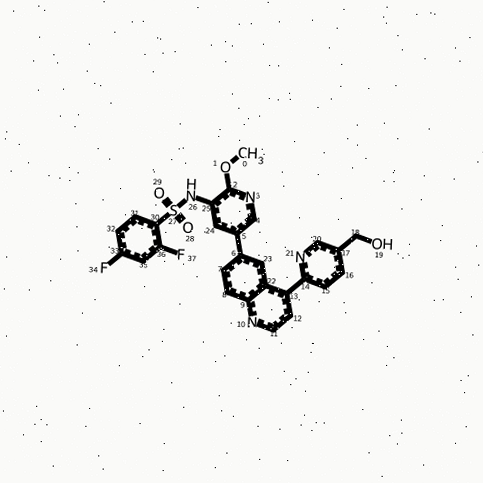 COc1ncc(-c2ccc3nccc(-c4ccc(CO)cn4)c3c2)cc1NS(=O)(=O)c1ccc(F)cc1F